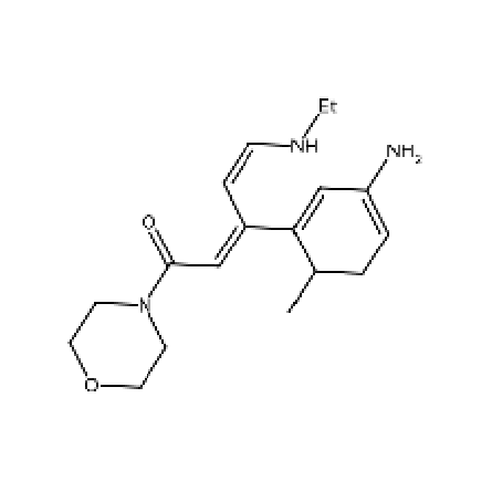 CCN/C=C\C(=C/C(=O)N1CCOCC1)C1=CC(N)=CCC1C